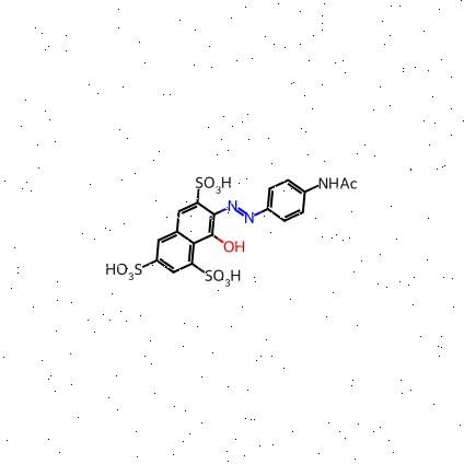 CC(=O)Nc1ccc(N=Nc2c(S(=O)(=O)O)cc3cc(S(=O)(=O)O)cc(S(=O)(=O)O)c3c2O)cc1